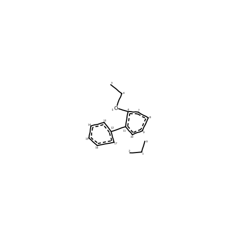 CCC.CCOc1ccccc1-c1ccccc1